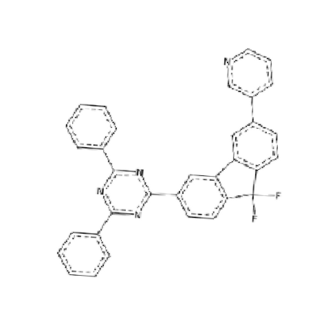 FC1(F)c2ccc(-c3cccnc3)cc2-c2cc(-c3nc(-c4ccccc4)nc(-c4ccccc4)n3)ccc21